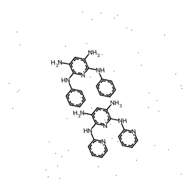 Nc1cc(N)c(Nc2ccccc2)nc1Nc1ccccc1.Nc1cc(N)c(Nc2ccccn2)nc1Nc1ccccn1